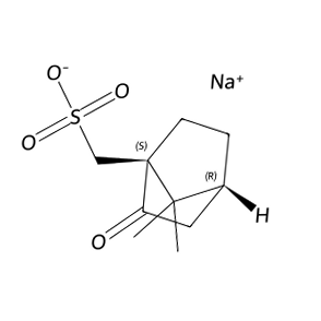 CC1(C)[C@@H]2CC[C@@]1(CS(=O)(=O)[O-])C(=O)C2.[Na+]